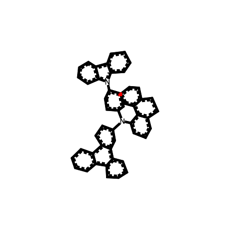 c1ccc2c(c1)ccc1cccc(N(c3ccc(-n4c5ccccc5c5ccccc54)cc3)c3ccc4c5ccccc5c5ccccc5c4c3)c12